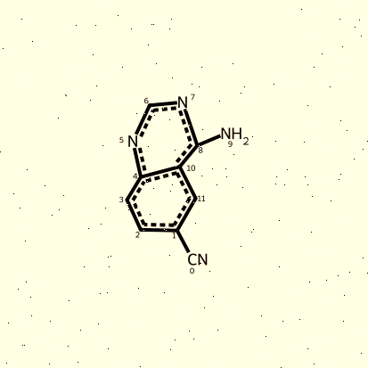 N#Cc1ccc2ncnc(N)c2c1